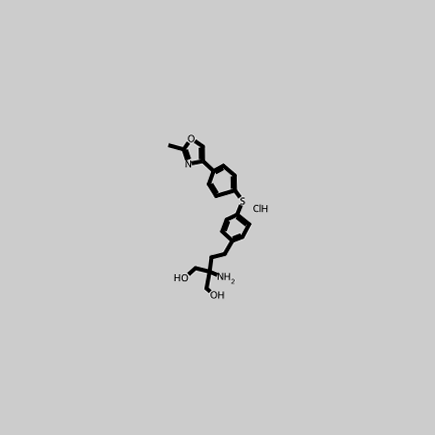 Cc1nc(-c2ccc(Sc3ccc(CCC(N)(CO)CO)cc3)cc2)co1.Cl